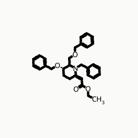 CCOC(=O)/C=C1\CC[C@H](OCc2ccccc2)C(COCc2ccccc2)N1Cc1ccccc1